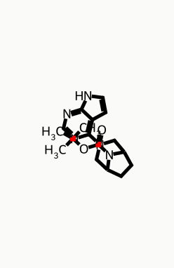 CC(C)(C)OC(=O)N1C2CCC1CN(c1ncnc3[nH]ccc13)C2